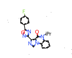 CC(C)n1c(=O)c2c(-c3noc(-c4ccc(F)cc4)n3)ncn2c2ccccc21